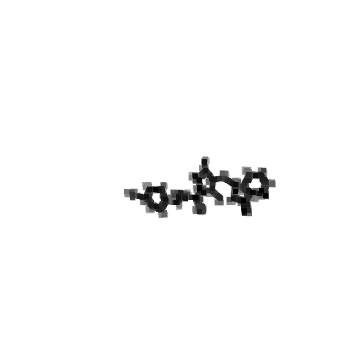 CC1=NN(C(=O)NCc2ccc(F)cc2)C(C)C1Cc1c[nH]c2ncccc12